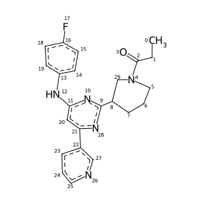 CCC(=O)N1CCCC(c2nc(Nc3ccc(F)cc3)cc(-c3cccnc3)n2)C1